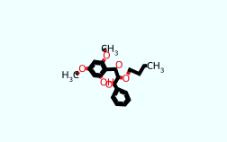 CCCCOC(C(=O)c1ccccc1)C(=O)c1c(O)cc(OC)cc1OC